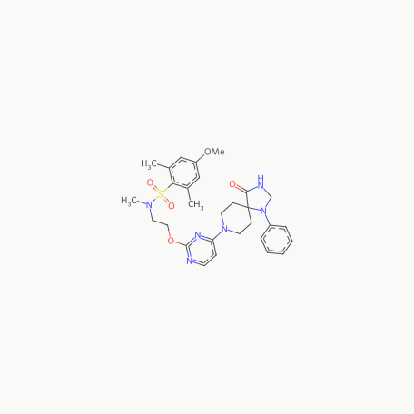 COc1cc(C)c(S(=O)(=O)N(C)CCOc2nccc(N3CCC4(CC3)C(=O)NCN4c3ccccc3)n2)c(C)c1